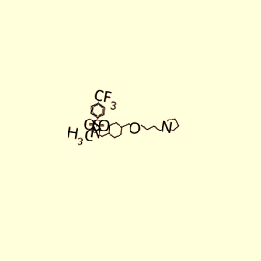 CN(CC1CCC(COCCCCN2CCCC2)CC1)S(=O)(=O)c1ccc(C(F)(F)F)cc1